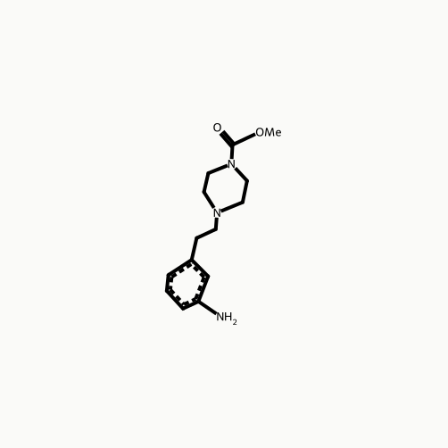 COC(=O)N1CCN(CCc2cccc(N)c2)CC1